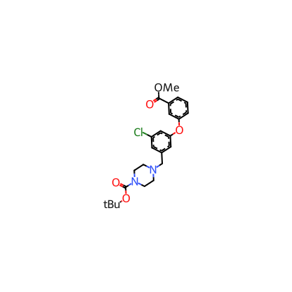 COC(=O)c1cccc(Oc2cc(Cl)cc(CN3CCN(C(=O)OC(C)(C)C)CC3)c2)c1